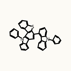 c1ccc(-n2c3ccccc3c3c(-c4cc5c6ccccc6n(-c6ccccc6)c5c5c4sc4ccccc45)cccc32)cc1